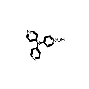 O[n+]1ccc(N(c2ccncc2)c2ccncc2)cc1